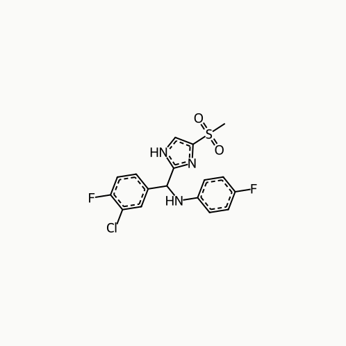 CS(=O)(=O)c1c[nH]c(C(Nc2ccc(F)cc2)c2ccc(F)c(Cl)c2)n1